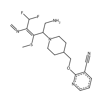 C=N/C(=C(\SC)C(CN)N1CCC(COc2ncccc2C#N)CC1)C(F)F